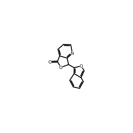 O=C1OC(c2occ3ccccc23)c2ncccc21